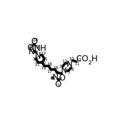 CN1C(=O)OC(N2CCN(CCC(=O)O)CC2)C1CCCCC1CCN(c2noc(=O)[nH]2)CC1